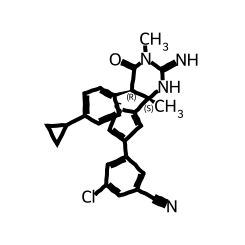 CN1C(=N)N[C@](C)(c2cc(-c3cc(Cl)cc(C#N)c3)cs2)[C@@H](c2ccc(C3CC3)cc2)C1=O